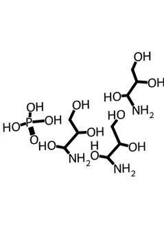 NC(O)C(O)CO.NC(O)C(O)CO.NC(O)C(O)CO.O=P(O)(O)O